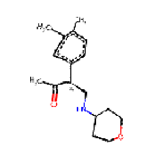 CC(=O)[C@H](CNC1CCOCC1)c1ccc(C)c(C)c1